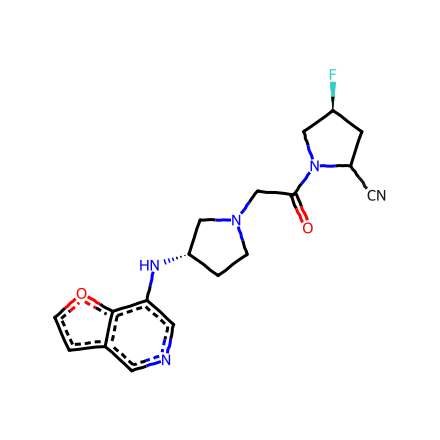 N#CC1C[C@H](F)CN1C(=O)CN1CC[C@H](Nc2cncc3ccoc23)C1